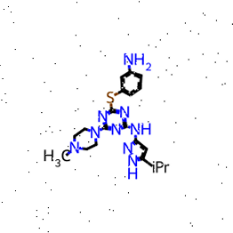 CC(C)c1cc(Nc2nc(Sc3cccc(N)c3)nc(N3CCN(C)CC3)n2)n[nH]1